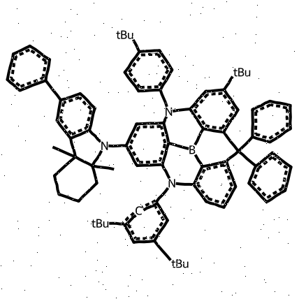 CC(C)(C)c1ccc(N2c3cc(N4c5ccc(-c6ccccc6)cc5C5(C)CCCCC45C)cc4c3B3c5c(cccc5C(c5ccccc5)(c5ccccc5)c5cc(C(C)(C)C)cc2c53)N4c2cc(C(C)(C)C)cc(C(C)(C)C)c2)cc1